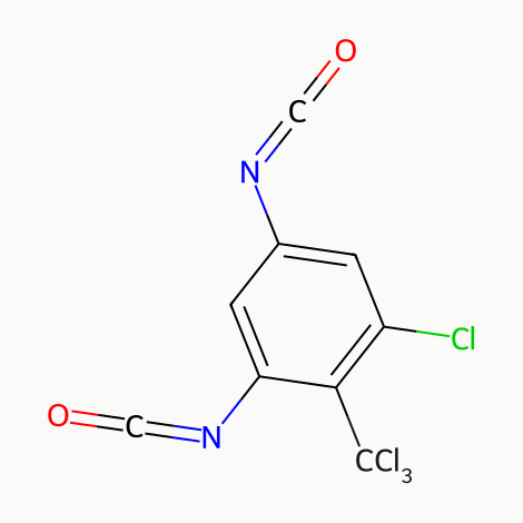 O=C=Nc1cc(Cl)c(C(Cl)(Cl)Cl)c(N=C=O)c1